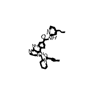 CC#CC(=O)N1CCCCC1c1nc(-c2ccc(C(=O)Nc3cc(CCC)ccn3)cc2)c2c(N)nccn12